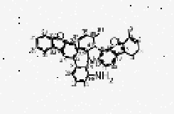 CC1=CCCc2c1oc1c3c(ccc21)N(c1c(N)cccc1-c1ccc2oc4ccccc4c2c1)C1=CC=CC(C)C13